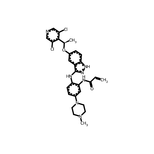 C=CC(=O)Nc1cc(N2CCN(C)CC2)ccc1Nc1n[nH]c2ccc(O[C@H](C)c3c(Cl)cncc3Cl)cc12